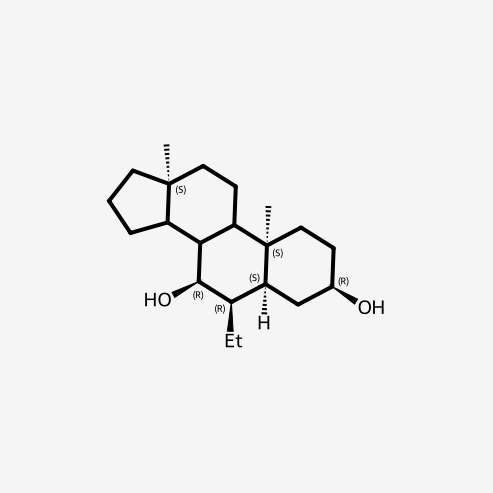 CC[C@H]1[C@@H](O)C2C3CCC[C@@]3(C)CCC2[C@@]2(C)CC[C@@H](O)C[C@@H]12